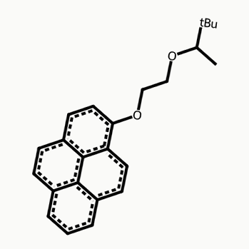 CC(OCCOc1ccc2ccc3cccc4ccc1c2c34)C(C)(C)C